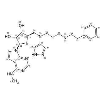 CNc1ncnc2c1ccn2[C@@H]1C[C@H](CN(CCCNCCc2ccccc2)c2cn[nH]c2)[C@@H](O)[C@H]1O